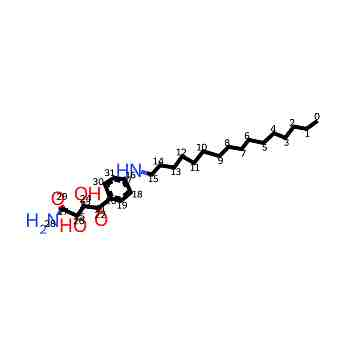 CCCCCCCCCCCCCCCCNc1ccc(C(=O)C(O)C(O)C(N)=O)cc1